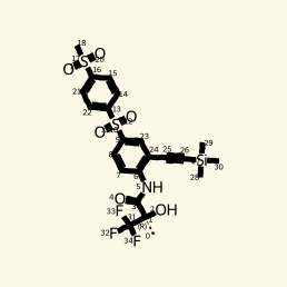 C[C@@](O)(C(=O)Nc1ccc(S(=O)(=O)c2ccc(S(C)(=O)=O)cc2)cc1C#C[Si](C)(C)C)C(F)(F)F